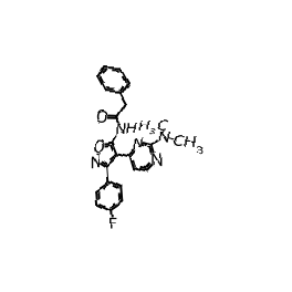 CN(C)c1nccc(-c2c(-c3ccc(F)cc3)noc2NC(=O)Cc2ccccc2)n1